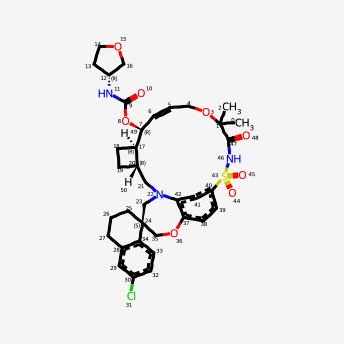 CC1(C)OCC=C[C@H](OC(=O)N[C@@H]2CCOC2)[C@@H]2CC[C@H]2CN2C[C@@]3(CCCc4cc(Cl)ccc43)COc3ccc(cc32)S(=O)(=O)NC1=O